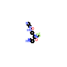 O=C(Nc1ccc(-c2cc(-c3cccc4[nH]ncc34)c(=O)n(CC(F)(F)F)n2)cc1)N1Cc2ccncc2C1